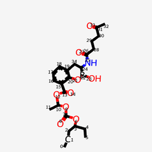 CCCC(CC)OC(=O)OC(C)OC(=O)c1cccc2c1OB(O)C(NC(=O)CCCC(C)=O)C2